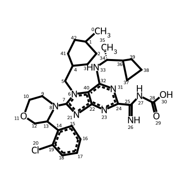 CC1CCC(Cn2c(N3CCOCC3c3ccccc3Cl)nc3nc(C(=N)NC(=O)O)nc(N[C@H](C)C4CCC4)c32)CC1